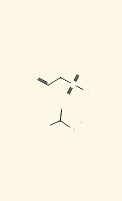 CC(N)S.O=S(=O)(O)CC=S.[KH]